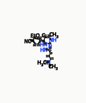 CCOC(=O)C1=C(C)N/C(=N/C(=N)CCCN(C)C)NC1c1ccc(C#N)cc1